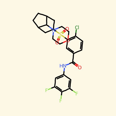 O=C(Nc1cc(F)c(F)c(F)c1)c1ccc(Cl)c(S(=O)(=O)C2CC3CCC(C2)C3N2CCOCC2)c1